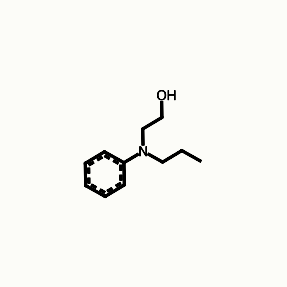 CCCN(CCO)c1ccccc1